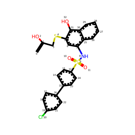 C=C(O)CSc1cc(NS(=O)(=O)c2ccc(-c3ccc(Cl)cc3)cc2)c2ccccc2c1O